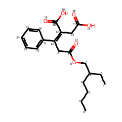 CCCCC(CC)COC(=O)CC(=C(CC(=O)O)C(=O)O)c1ccccc1